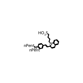 CCCCCN(CCCCC)c1ccc(C=Cc2ccc3ccccc3[n+]2CCCCS(=O)(=O)O)cc1